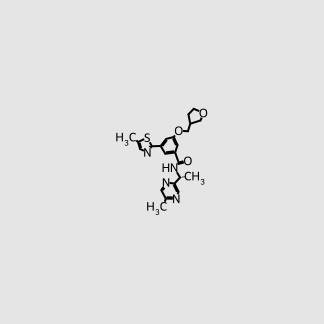 Cc1cnc([C@@H](C)NC(=O)c2cc(OCC3CCOC3)cc(-c3ncc(C)s3)c2)cn1